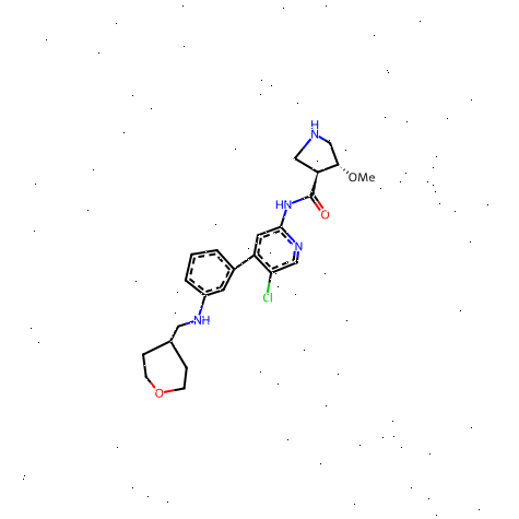 CO[C@H]1CNC[C@@H]1C(=O)Nc1cc(-c2cccc(NCC3CCOCC3)c2)c(Cl)cn1